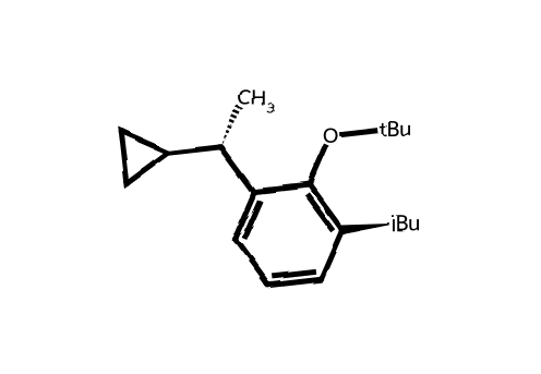 CC[C@H](C)c1cccc([C@@H](C)C2CC2)c1OC(C)(C)C